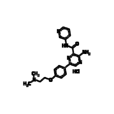 CN(C)CCOc1ccc(-c2cnc(N)c(C(=O)Nc3cccnc3)n2)cc1.Cl